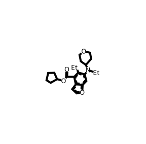 CCc1c(N(CC)C2CCOCC2)cc2occc2c1C(=O)OC1CCCC1